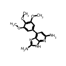 COc1cc(-c2cc(N)nc3[nH]c(N)nc23)cc(OC)c1OC